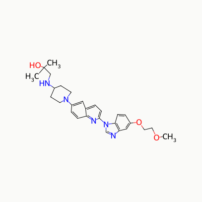 COCCOc1ccc2c(c1)ncn2-c1ccc2cc(N3CCC(NCC(C)(C)O)CC3)ccc2n1